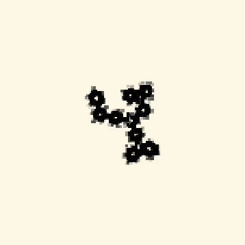 c1ccc(-c2cccc(-c3ccc(-c4nc(-c5ccc(-n6c7ccccc7c7ccccc76)cc5)cc(-c5cccc(-n6c7ccccc7c7ccccc76)c5)n4)cc3)c2)cc1